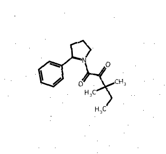 CCC(C)(C)C(=O)C(=O)N1CCCC1c1ccccc1